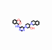 O[C@@H]1CN(c2cc(NC3OCOc4ccccc43)ncn2)CC[C@H]1N1CCc2ccccc2C1